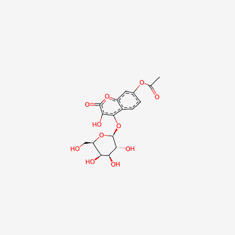 CC(=O)Oc1ccc2c(O[C@@H]3O[C@H](CO)[C@H](O)[C@H](O)[C@H]3O)c(O)c(=O)oc2c1